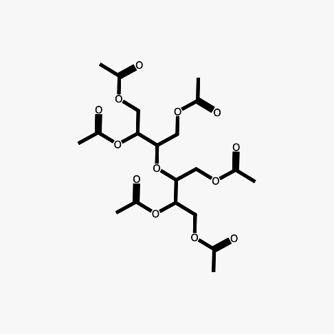 CC(=O)OCC(OC(C)=O)C(COC(C)=O)OC(COC(C)=O)C(COC(C)=O)OC(C)=O